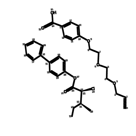 C=CCOCCOCCOc1ccc(C(=O)O)cc1.CC[C@H](C)[C@H](Cl)C(=O)Oc1ccc(-c2ccccc2)cc1